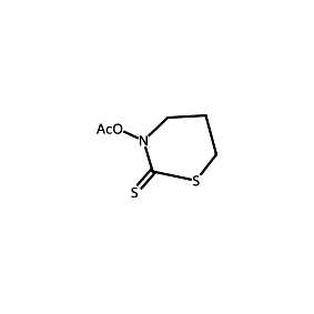 CC(=O)ON1CCCSC1=S